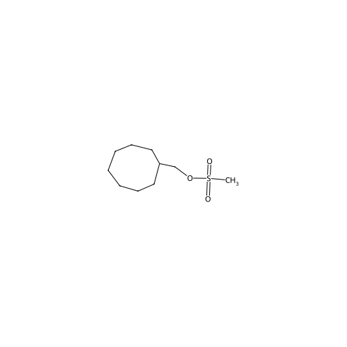 CS(=O)(=O)OCC1CCCCCCC1